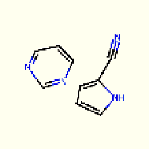 N#Cc1ccc[nH]1.c1cncnc1